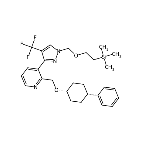 C[Si](C)(C)CCOCn1cc(C(F)(F)F)c(-c2cccnc2CO[C@H]2CC[C@@H](c3ccccc3)CC2)n1